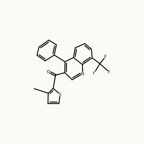 Cc1ccsc1C(=O)c1cnc2c(C(F)(F)F)cccc2c1-c1ccccc1